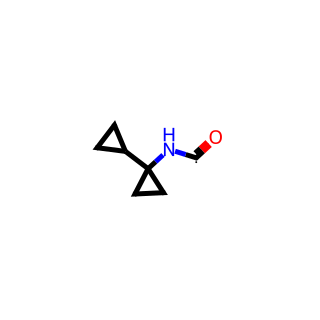 O=[C]NC1(C2CC2)CC1